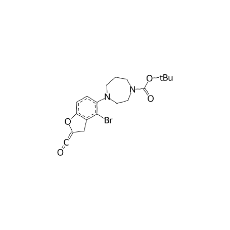 CC(C)(C)OC(=O)N1CCCN(c2ccc3c(c2Br)CC(=C=O)O3)CC1